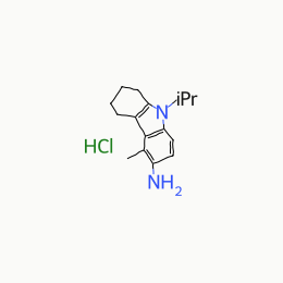 Cc1c(N)ccc2c1c1c(n2C(C)C)CCCC1.Cl